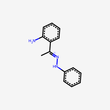 C/C(=N\Nc1ccccc1)c1ccccc1N